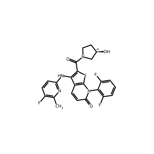 Cc1nc(Nc2c(C(=O)N3CC[C@@H](O)C3)sc3c2ccc(=O)n3-c2c(F)cccc2F)ccc1F